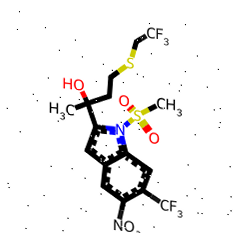 CC(O)(CCSCC(F)(F)F)c1cc2cc([N+](=O)[O-])c(C(F)(F)F)cc2n1S(C)(=O)=O